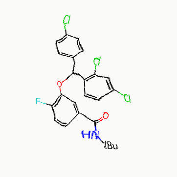 CC(C)(C)NC(=O)c1ccc(F)c(OC(c2ccc(Cl)cc2)c2ccc(Cl)cc2Cl)c1